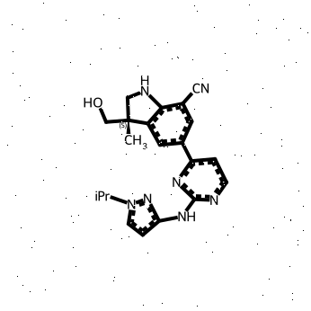 CC(C)n1ccc(Nc2nccc(-c3cc(C#N)c4c(c3)[C@](C)(CO)CN4)n2)n1